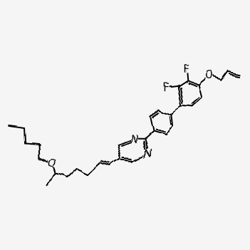 C=CCOc1ccc(-c2ccc(-c3ncc(C=CCCCC(C)OCCCCC)cn3)cc2)c(F)c1F